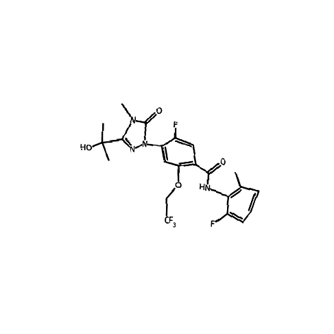 Cc1cccc(F)c1NC(=O)c1cc(F)c(-n2nc(C(C)(C)O)n(C)c2=O)cc1OCC(F)(F)F